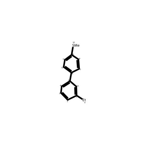 CCc1cccc(-c2ccc(SC)cc2)c1